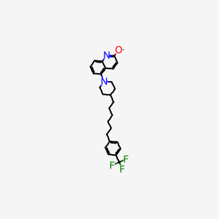 [O]c1ccc2c(N3CCC(CCCCCCc4ccc(C(F)(F)F)cc4)CC3)cccc2n1